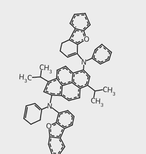 CC(C)c1cc(N(C2=CCCc3c2oc2ccccc32)c2ccccc2)c2ccc3c(C(C)C)cc(N(C4=CC=CCC4)c4cccc5c4oc4ccccc45)c4ccc1c2c34